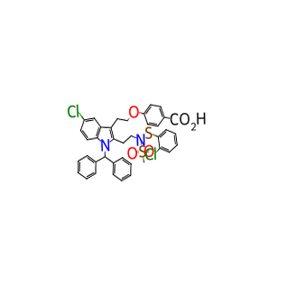 CS(=O)(=O)N(CCc1c(CCOc2ccc(C(=O)O)cc2)c2cc(Cl)ccc2n1C(c1ccccc1)c1ccccc1)Sc1ccccc1Cl